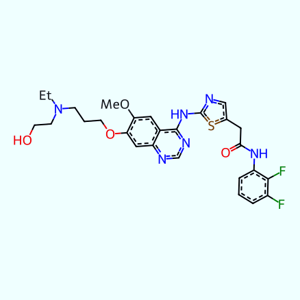 CCN(CCO)CCCOc1cc2ncnc(Nc3ncc(CC(=O)Nc4cccc(F)c4F)s3)c2cc1OC